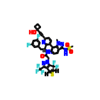 Cn1nc(NS(C)(=O)=O)c2cccc(-c3ccc(C#CC4(O)CCC4)nc3[C@H](Cc3cc(F)cc(F)c3)NC(=O)Cn3nc(C(F)(F)F)c4c3C(F)(F)[C@@H]3S[C@H]43)c21